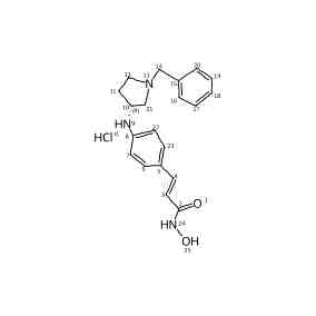 Cl.O=C(/C=C/c1ccc(N[C@@H]2CCN(Cc3ccccc3)C2)cc1)NO